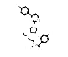 CCN(CCN(C)C(=O)c1ccc(Cl)cc1)[C@@H]1CN(c2nccc(-c3ccc(Cl)cc3)n2)C[C@H]1O